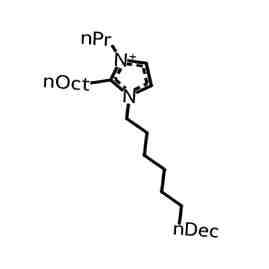 CCCCCCCCCCCCCCCCn1cc[n+](CCC)c1CCCCCCCC